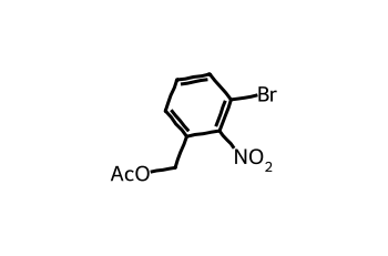 CC(=O)OCc1cccc(Br)c1[N+](=O)[O-]